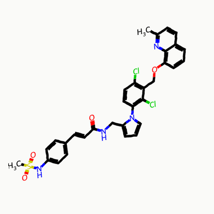 Cc1ccc2cccc(OCc3c(Cl)ccc(-n4cccc4CNC(=O)C=Cc4ccc(NS(C)(=O)=O)cc4)c3Cl)c2n1